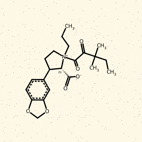 CCC[N+]1(C(=O)C(=O)C(C)(C)CC)CCC(c2ccc3c(c2)OCO3)[C@H]1C(=O)[O-]